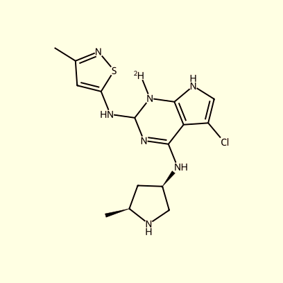 [2H]N1c2[nH]cc(Cl)c2C(N[C@H]2CN[C@@H](C)C2)=NC1Nc1cc(C)ns1